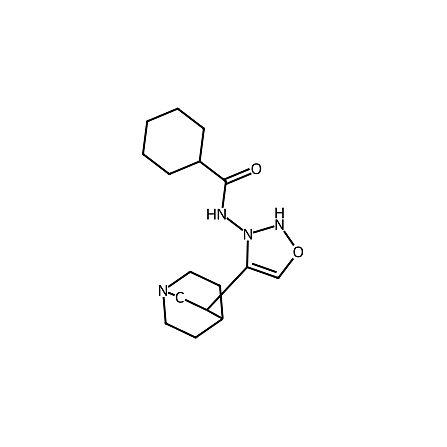 O=C(NN1NOC=C1C1CN2CCC1CC2)C1CCCCC1